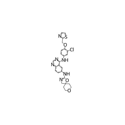 Clc1cc(Nc2ncnc3ccc(NC4=NCC5(CCOCC5)O4)cc23)ccc1OCc1nccs1